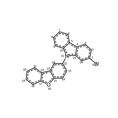 Brc1ccc2c3ccccc3n(-c3ccc4oc5ccccc5c4c3)c2c1